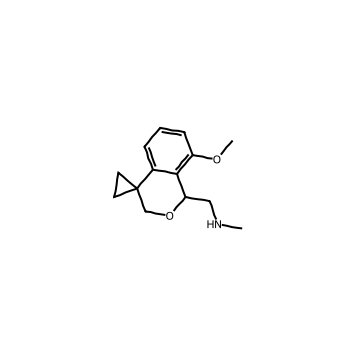 CNCC1OCC2(CC2)c2cccc(OC)c21